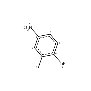 [CH2]c1cc([N+](=O)[O-])ccc1CCC